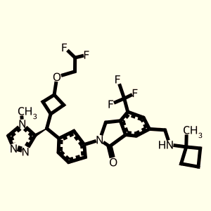 Cn1cnnc1[C@H](c1cccc(N2Cc3c(cc(CNC4(C)CCC4)cc3C(F)(F)F)C2=O)c1)C1CC(OCC(F)F)C1